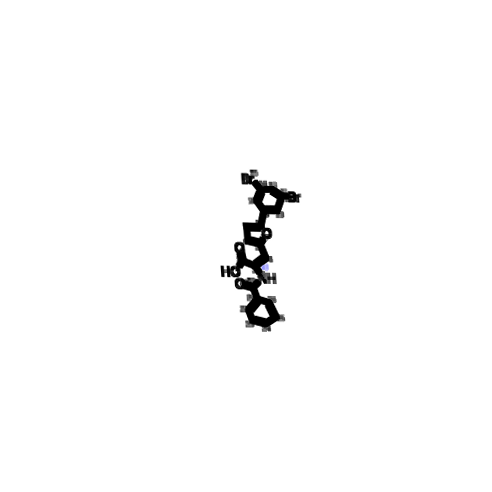 O=C(O)/C(=C\c1ccc(-c2cc(Br)cc(Br)c2)o1)NC(=O)c1ccccc1